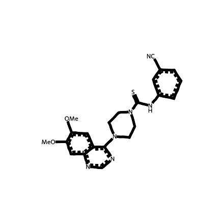 COc1cc2ncnc(N3CCN(C(=S)Nc4cccc(C#N)c4)CC3)c2cc1OC